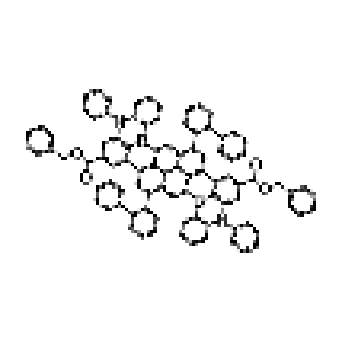 O=C(OCc1ccccc1)c1cc2c3c(c1)N(c1ccccc1)c1ccccc1B3c1cc3c(-c4ccccc4-c4ccccc4)cc4c5c(cc6c(-c7ccccc7-c7ccccc7)cc-2c1c6c35)B1c2ccccc2N(c2ccccc2)c2cc(C(=O)OCc3ccccc3)cc-4c21